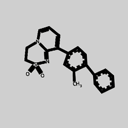 Cc1cc(C2=CC=CN3CCS(=O)(=O)N=C23)ccc1-c1ccccc1